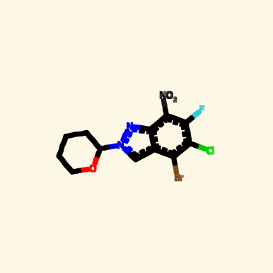 O=[N+]([O-])c1c(F)c(Cl)c(Br)c2cn(C3CCCCO3)nc12